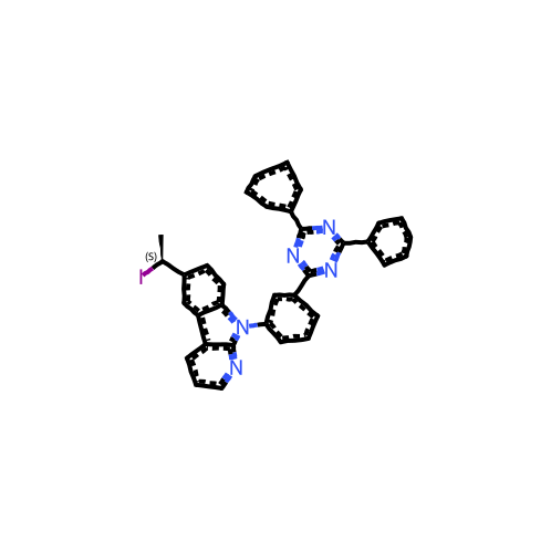 C[C@H](I)c1ccc2c(c1)c1cccnc1n2-c1cccc(-c2nc(-c3ccccc3)nc(-c3ccccc3)n2)c1